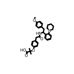 COc1ccc(CC(NC(=O)Cc2ccc(OC(C)(C)C(=O)O)cc2)c2ccccc2N2CCCCC2)cc1